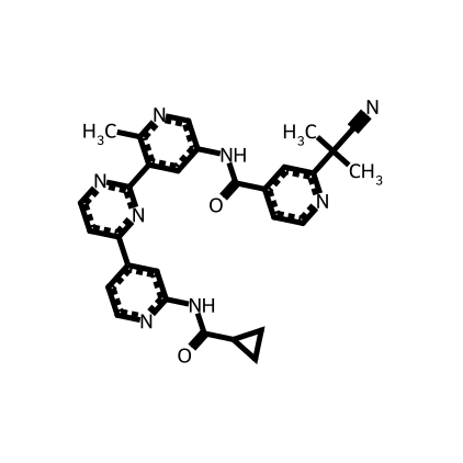 Cc1ncc(NC(=O)c2ccnc(C(C)(C)C#N)c2)cc1-c1nccc(-c2ccnc(NC(=O)C3CC3)c2)n1